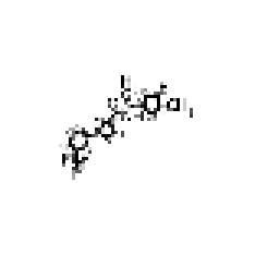 Cc1ccc([C@@H](C)NC(=O)c2ccc(-c3cccc(C(F)(F)F)c3)o2)cc1F